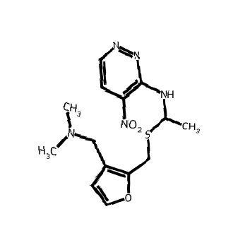 CC(Nc1nnccc1[N+](=O)[O-])SCc1occc1CN(C)C